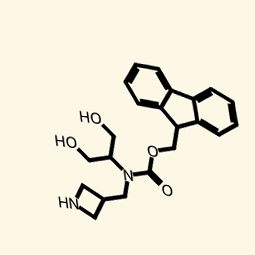 O=C(OCC1c2ccccc2-c2ccccc21)N(CC1CNC1)C(CO)CO